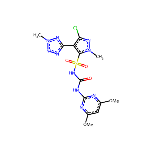 COc1cc(OC)nc(NC(=O)NS(=O)(=O)c2c(-c3nnn(C)n3)c(Cl)nn2C)n1